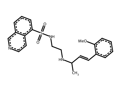 COc1ccccc1C=CC(C)NCCNS(=O)(=O)c1cccc2cnccc12